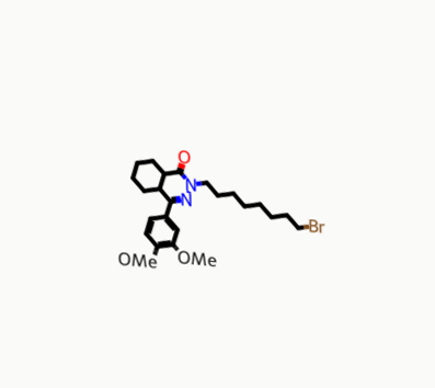 COc1ccc(C2=NN(CCCCCCCCBr)C(=O)C3CCCCC23)cc1OC